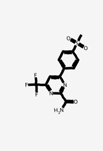 CS(=O)(=O)c1ccc(-c2cc(C(F)(F)F)nc(C(N)=O)n2)cc1